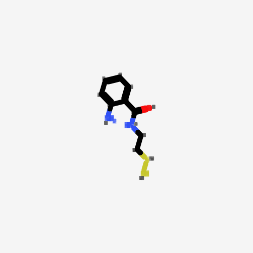 Nc1ccccc1C(=O)NCCSS